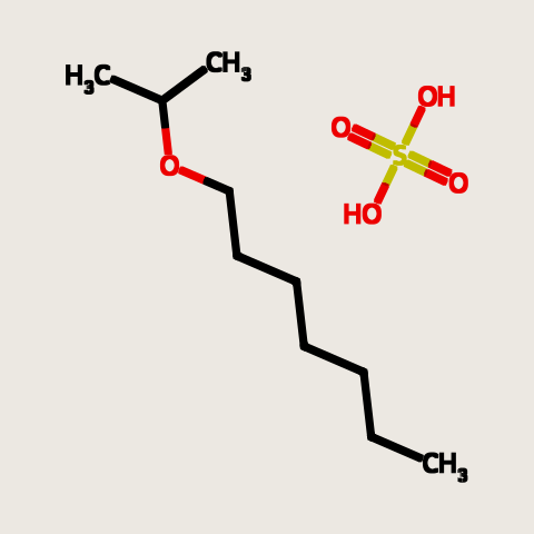 CCCCCCCOC(C)C.O=S(=O)(O)O